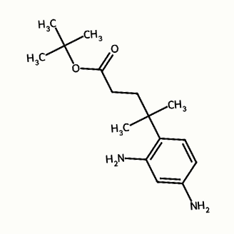 CC(C)(C)OC(=O)CCC(C)(C)c1ccc(N)cc1N